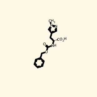 Cn1cc(C[C@@H](NC(=O)OCc2ccccc2)C(=O)O)cn1